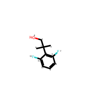 CC(C)(CO)c1c(F)cccc1F